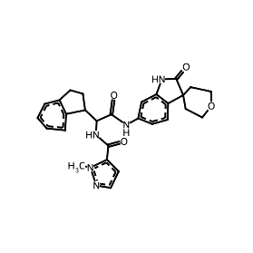 Cn1nccc1C(=O)NC(C(=O)Nc1ccc2c(c1)NC(=O)C21CCOCC1)C1CCc2ccccc21